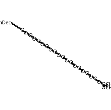 C=C(C)C(=O)OCCOCCOCCOCCOCCOCCOCCOCCOCCOCCOCCOCCOCCOCCOCCOCCOCCOCCOCCOCCOCCCCCCCCCCCCCCCCCC